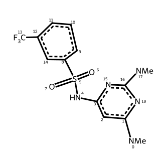 CNc1cc(NS(=O)(=O)c2cccc(C(F)(F)F)c2)nc(NC)n1